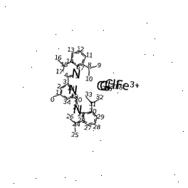 Cc1cc(C=Nc2c(C(C)C)cccc2C(C)C)nc(C=Nc2c(C(C)C)cccc2C(C)C)c1.[Cl-].[Cl-].[Cl-].[Fe+3]